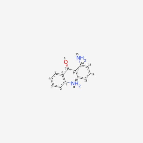 Nc1ccccc1C(=O)c1ccccc1N